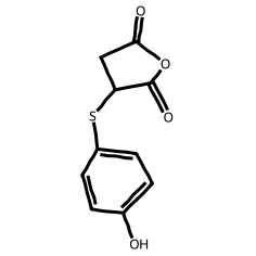 O=C1CC(Sc2ccc(O)cc2)C(=O)O1